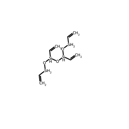 C=C[SiH2]O[SiH](C=C)O[SiH](C=C)O[SiH2]C=C